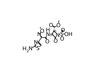 CON=C(C(=O)N[C@H]1C(=O)N(S(=O)(=O)O)[C@H]1C(=O)OC)c1csc(N)n1